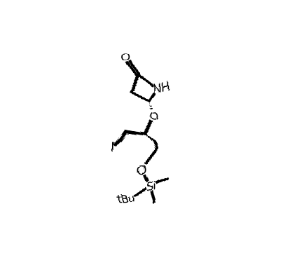 CC(C)(C)[Si](C)(C)OC[C@@H](CI)O[C@@H]1CC(=O)N1